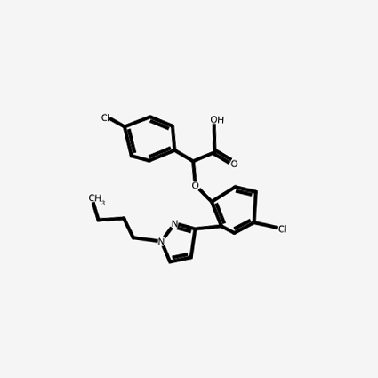 CCCCn1ccc(-c2cc(Cl)ccc2OC(C(=O)O)c2ccc(Cl)cc2)n1